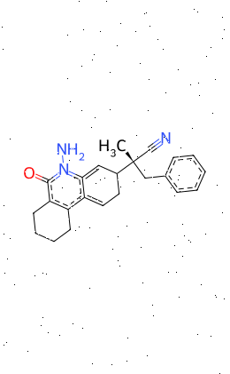 C[C@@](C#N)(Cc1ccccc1)C1C=c2c(c3c(c(=O)n2N)CCCC3)=CC1